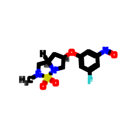 CN1C[C@@H]2C[C@@H](Oc3cc(F)cc(N=O)c3)CN2S1(=O)=O